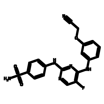 N#CCOc1cccc(Nc2nc(Nc3ccc(S(N)(=O)=O)cc3)ncc2F)c1